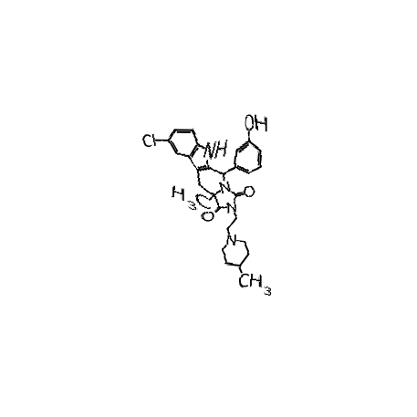 CC1CCN(CCN2C(=O)N3C(c4cccc(O)c4)c4[nH]c5ccc(Cl)cc5c4CC3(C)C2=O)CC1